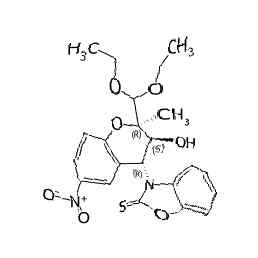 CCOC(OCC)[C@]1(C)Oc2ccc([N+](=O)[O-])cc2[C@@H](n2c(=S)oc3ccccc32)[C@@H]1O